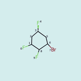 FC1C[C@@H](F)CC(Br)C1F